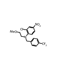 COCCN(Cc1ccc(C(F)(F)F)cc1)c1ccc([N+](=O)[O-])cc1Cl